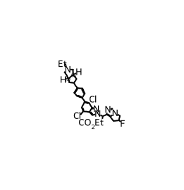 CCOC(=O)C(c1ncn2c1CC(F)C2)n1cc2c(Cl)cc(-c3ccc(C4C[C@@H]5CN(CC)C[C@@H]5C4)cc3)c(Cl)c2n1